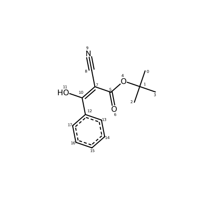 CC(C)(C)OC(=O)C(C#N)=C(O)c1ccccc1